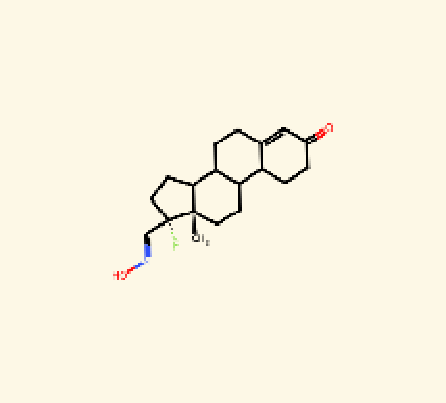 C[C@]12CCC3C4CCC(=O)C=C4CCC3C1CC[C@]2(F)/C=N/O